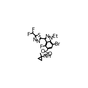 CCn1nc(-c2nnc(C(F)F)s2)c2c(F)c(S(=O)(=O)NC3(C)CC3)cc(Br)c21